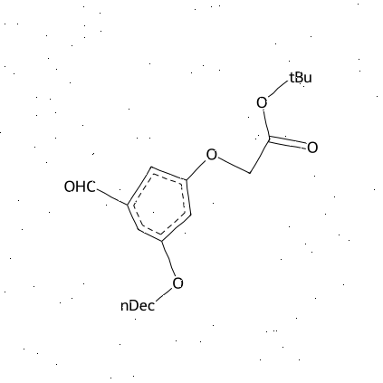 CCCCCCCCCCOc1cc(C=O)cc(OCC(=O)OC(C)(C)C)c1